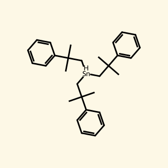 CC(C)([CH2][SnH]([CH2]C(C)(C)c1ccccc1)[CH2]C(C)(C)c1ccccc1)c1ccccc1